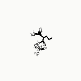 CCCC(C(=O)O)C(=O)O.O=[PH](O)O